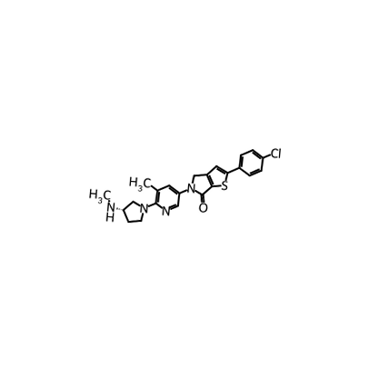 CN[C@H]1CCN(c2ncc(N3Cc4cc(-c5ccc(Cl)cc5)sc4C3=O)cc2C)C1